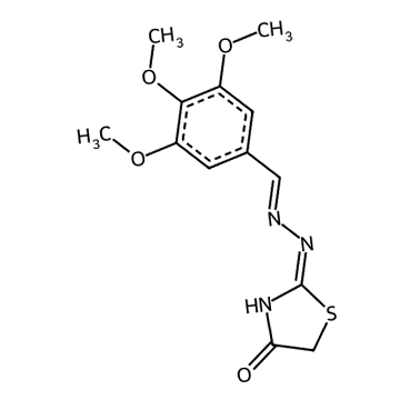 COc1cc(/C=N/N=C2\NC(=O)CS2)cc(OC)c1OC